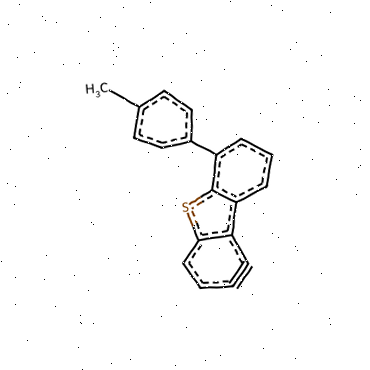 Cc1ccc(-c2cccc3c2sc2ccc#cc23)cc1